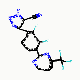 N#Cc1[nH]nnc1-c1ccc(-c2nccc(C(F)(F)F)n2)c(F)c1F